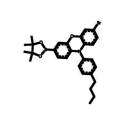 CCCCc1ccc(N2c3ccc(Br)cc3Oc3cc(B4OC(C)(C)C(C)(C)O4)ccc32)cc1